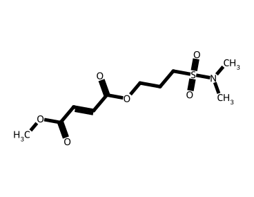 COC(=O)/C=C/C(=O)OCCCS(=O)(=O)N(C)C